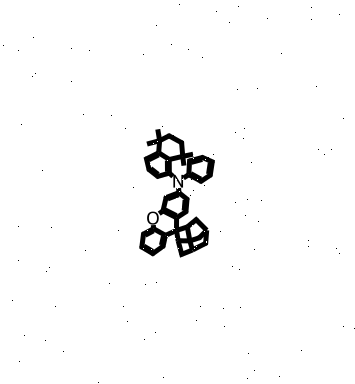 CC1(C)CCC(C)(C)c2c(N(c3ccccc3)c3ccc4c(c3)Oc3ccccc3C43C4CC5CC6CC3C64C5)cccc21